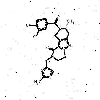 Cc1ncc(CN2CCn3nc4c(c3C2=O)CN(C(=O)c2ccc(Cl)c(Cl)c2)[C@H](C)C4)s1